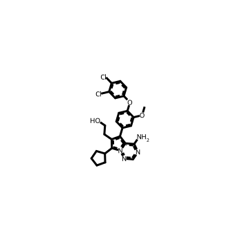 COc1cc(-c2c(CCO)c(C3CCCC3)n3ncnc(N)c23)ccc1Oc1ccc(Cl)c(Cl)c1